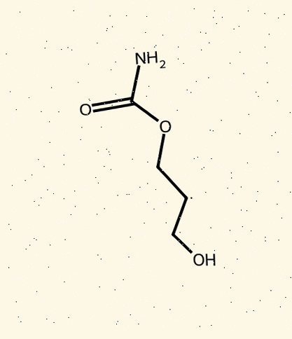 NC(=O)OC[CH]CO